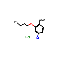 COc1ccc(N)cc1OCCCC(C)C.Cl